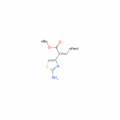 CCCCCC=C(C(=O)OCCCC)c1csc(N)n1